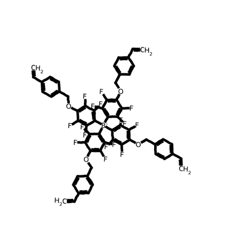 C=Cc1ccc(COc2c(F)c(F)c([B-](c3c(F)c(F)c(OCc4ccc(C=C)cc4)c(F)c3F)(c3c(F)c(F)c(OCc4ccc(C=C)cc4)c(F)c3F)c3c(F)c(F)c(OCc4ccc(C=C)cc4)c(F)c3F)c(F)c2F)cc1